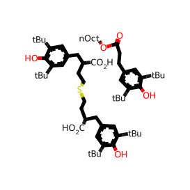 CC(C)(C)c1cc(CC(CCSCCC(Cc2cc(C(C)(C)C)c(O)c(C(C)(C)C)c2)C(=O)O)C(=O)O)cc(C(C)(C)C)c1O.CCCCCCCCOC(=O)CCc1cc(C(C)(C)C)c(O)c(C(C)(C)C)c1